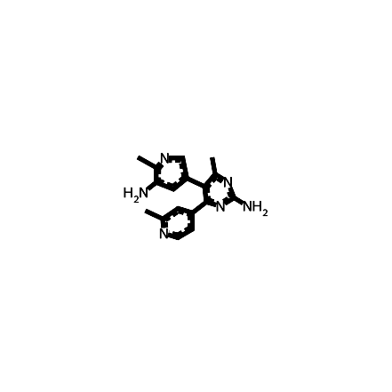 Cc1cc(-c2nc(N)nc(C)c2-c2cnc(C)c(N)c2)ccn1